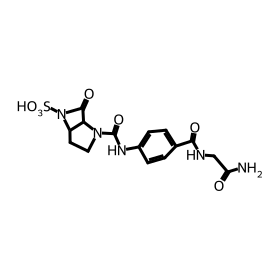 NC(=O)CNC(=O)c1ccc(NC(=O)N2CCC3C2C(=O)N3S(=O)(=O)O)cc1